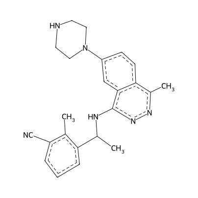 Cc1c(C#N)cccc1C(C)Nc1nnc(C)c2ccc(N3CCNCC3)cc12